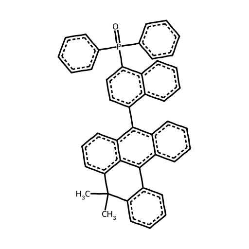 CC1(C)c2ccccc2-c2c3ccccc3c(-c3ccc(P(=O)(c4ccccc4)c4ccccc4)c4ccccc34)c3cccc1c23